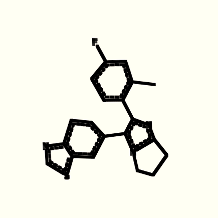 Cc1cc(F)ccc1-c1nc2n(c1-c1ccc3ncsc3c1)CCC2